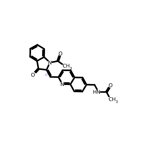 CC(=O)NCc1ccc2nc(/C=C3/C(=O)c4ccccc4N3C(C)=O)ccc2c1